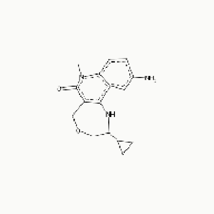 Cn1c(=O)c2c(c3cc(N)ccc31)NC(C1CC1)COC2